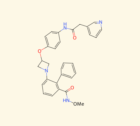 CONC(=O)c1cccc(N2CC(Oc3ccc(NC(=O)Cc4cccnc4)cc3)C2)c1-c1ccccc1